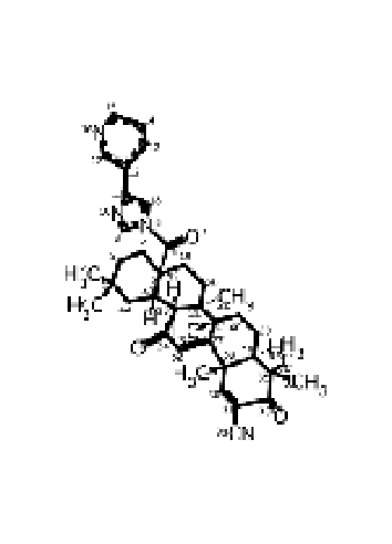 CC1(C)CC[C@]2(C(=O)n3cnc(-c4cccnc4)c3)CC[C@]3(C)[C@H](C(=O)C=C4[C@@]5(C)C=C(C#N)C(=O)C(C)(C)[C@@H]5CC[C@]43C)[C@@H]2C1